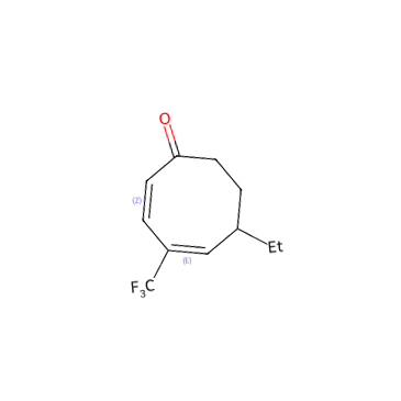 CCC1/C=C(C(F)(F)F)\C=C/C(=O)CC1